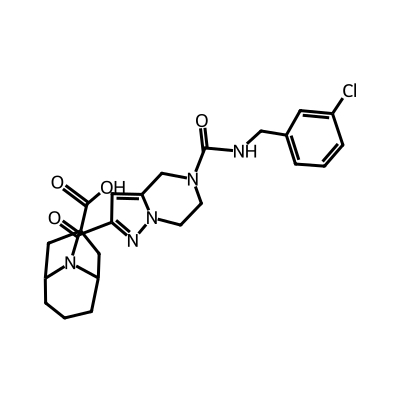 O=C(O)C1CC2CCCC(C1)N2C(=O)c1cc2n(n1)CCN(C(=O)NCc1cccc(Cl)c1)C2